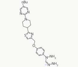 CCCCc1cnc(N2CCC(c3nc(COc4ccc(N(N)/C=N\N)cc4)cs3)CC2)nc1